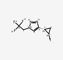 C[C@@H]1C[C@H]1c1cn(CC(F)(F)F)nn1